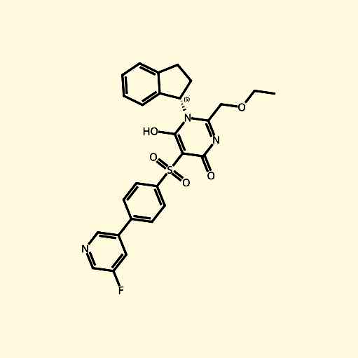 CCOCc1nc(=O)c(S(=O)(=O)c2ccc(-c3cncc(F)c3)cc2)c(O)n1[C@H]1CCc2ccccc21